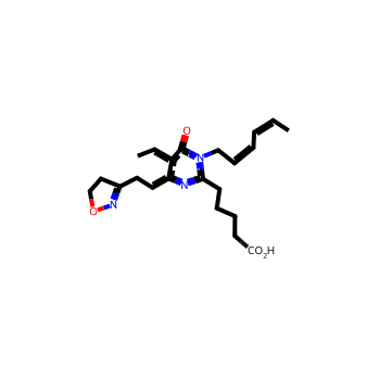 C/C=C\C=C/Cn1c(CCCCC(=O)O)nc(=C/CC2=NOCC2)/c(=C\C)c1=O